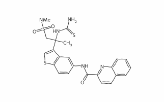 CNS(=O)(=O)CC(C)(NC(N)=S)c1csc2ccc(NC(=O)c3ccc4ccccc4n3)cc12